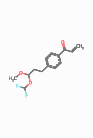 C=CC(=O)c1ccc(CCC(OC)OC(F)F)cc1